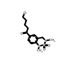 CN1Cc2cc(C(=O)CCCCCl)ccc2N(C)S1(=O)=O